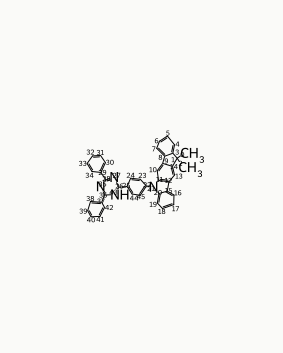 CC1(C)c2ccccc2-c2cc3c(cc21)c1ccccc1n3-c1ccc(C2N=C(c3ccccc3)N=C(c3ccccc3)N2)cc1